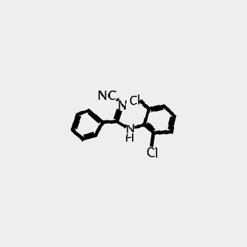 N#CN=C(Nc1c(Cl)cccc1Cl)c1ccccc1